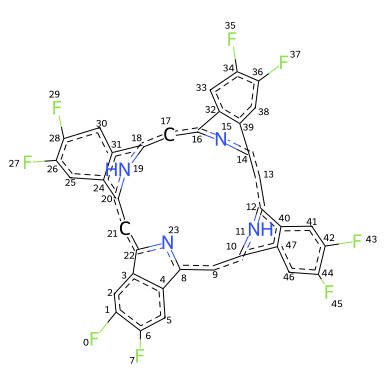 Fc1cc2c(cc1F)-c1cc3[nH]c(cc4nc(cc5[nH]c(cc-2n1)c1cc(F)c(F)cc51)-c1cc(F)c(F)cc1-4)c1cc(F)c(F)cc31